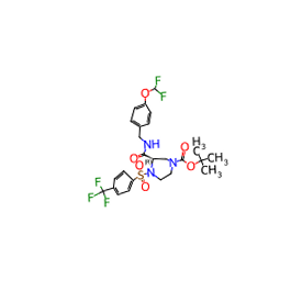 CC(C)(C)OC(=O)N1CCN(S(=O)(=O)c2ccc(C(F)(F)F)cc2)[C@@H](C(=O)NCc2ccc(OC(F)F)cc2)C1